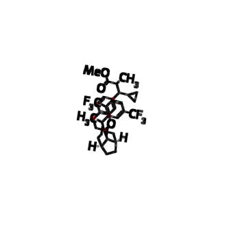 COC(=O)C(C)C(c1ccc2c(c1)OC(C1[C@@H]3CC[C@H]1CN(C(C)c1cc(C(F)(F)F)ccc1C(F)(F)F)C3)CC2)C1CC1